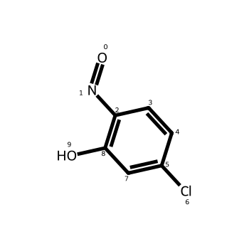 O=Nc1ccc(Cl)cc1O